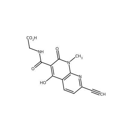 C#Cc1ccc2c(O)c(C(=O)NCC(=O)O)c(=O)n(C)c2n1